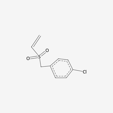 C=CS(=O)(=O)Cc1ccc(Cl)cc1